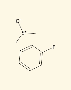 C[S+](C)[O-].Fc1ccccc1